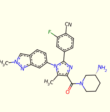 Cc1c(C(=O)N2CCC[C@@H](N)C2)nc(-c2ccc(C#N)c(F)c2)n1-c1ccc2cn(C)nc2c1